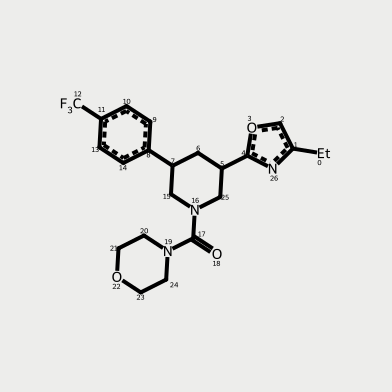 CCc1coc(C2CC(c3ccc(C(F)(F)F)cc3)CN(C(=O)N3CCOCC3)C2)n1